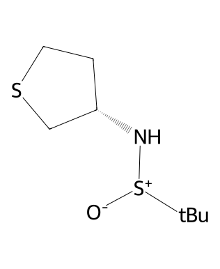 CC(C)(C)[S+]([O-])N[C@H]1CCSC1